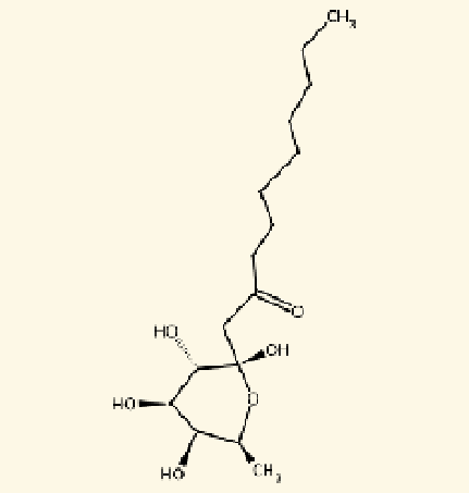 CCCCCCCCC(=O)C[C@]1(O)O[C@@H](C)[C@@H](O)[C@@H](O)[C@@H]1O